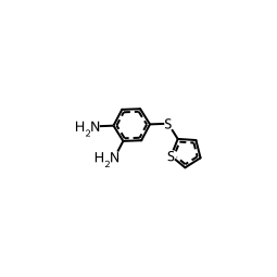 Nc1ccc(Sc2cccs2)cc1N